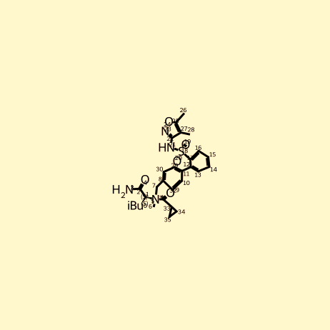 CC[C@H](C)[C@@H](C(N)=O)[N+](C)(Cc1ccc(-c2ccccc2S(=O)(=O)Nc2noc(C)c2C)cc1)C(=O)C1CC1